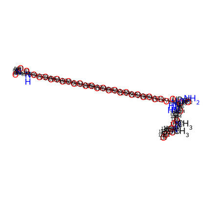 CC(C)C(NC(=O)CCOCCOCCOCCOCCOCCOCCOCCOCCOCCOCCOCCOCCOCCOCCOCCOCCOCCOCCOCCOCCOCCOCCOCCOCCNC(=O)CCCN1C(=O)C=CC1=O)C(=O)N[C@@H](CCCNC(N)=O)C(=O)Nc1ccc(COC(=O)N(C)CCN(C)C(=O)Oc2ccc3ccc(=O)oc3c2)cc1